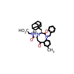 CC(=O)N1[C@@H](C(=O)NCC(=O)O)CC(=O)c2cc(C)ccc2N(Cc2ccccc2)C(=O)[C@@H]1CC12CC3CC(CC(C3)C1)C2